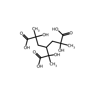 CC(O)(CC(CC(C)(O)C(=O)O)C(C)(O)C(=O)O)C(=O)O